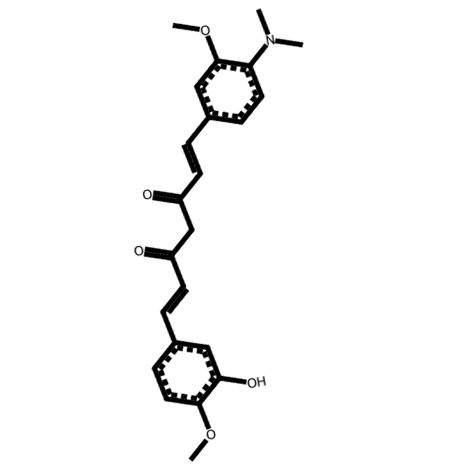 COc1ccc(/C=C/C(=O)CC(=O)/C=C/c2ccc(N(C)C)c(OC)c2)cc1O